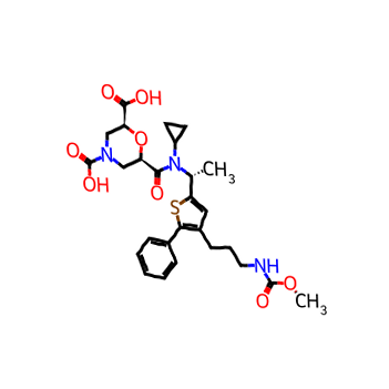 COC(=O)NCCCc1cc([C@@H](C)N(C(=O)[C@H]2CN(C(=O)O)C[C@@H](C(=O)O)O2)C2CC2)sc1-c1ccccc1